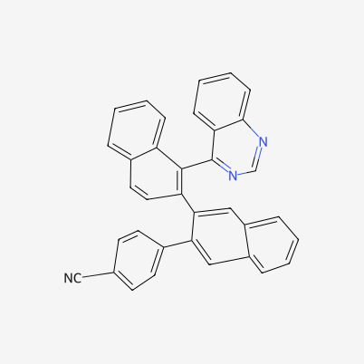 N#Cc1ccc(-c2cc3ccccc3cc2-c2ccc3ccccc3c2-c2ncnc3ccccc23)cc1